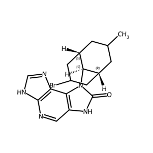 CC1C[C@@H]2CC(Br)C[C@H](C1)[C@@H]2n1c(=O)[nH]c2cnc3[nH]cnc3c21